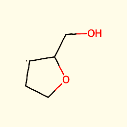 OCC1[CH]CCO1